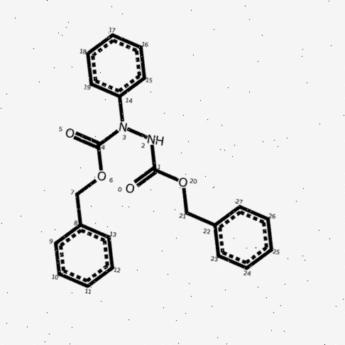 O=C(NN(C(=O)OCc1ccccc1)c1ccccc1)OCc1ccccc1